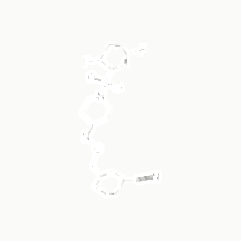 N#Cc1cccc(CON=C2CCN(S(=O)(=O)c3cc(F)ccc3F)CC2)c1